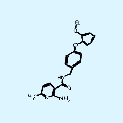 CCOc1ccccc1Oc1ccc(CNC(=O)c2ccc(C)nc2N)cc1